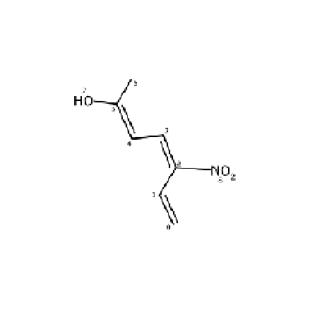 C=C/C(=C\C=C(/C)O)[N+](=O)[O-]